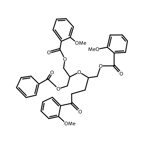 COc1ccccc1C(=O)CCC(COC(=O)c1ccccc1OC)OC(COC(=O)c1ccccc1)COC(=O)c1ccccc1OC